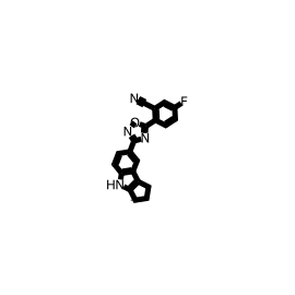 N#Cc1cc(F)ccc1-c1nc(-c2ccc3[nH]c4c(c3c2)CC[CH]4)no1